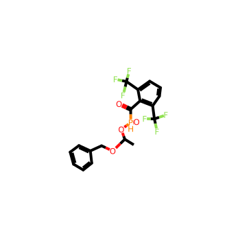 CC(OCc1ccccc1)O[PH](=O)C(=O)c1c(C(F)(F)F)cccc1C(F)(F)F